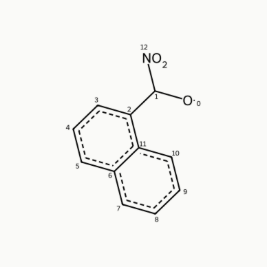 [O]C(c1cccc2ccccc12)[N+](=O)[O-]